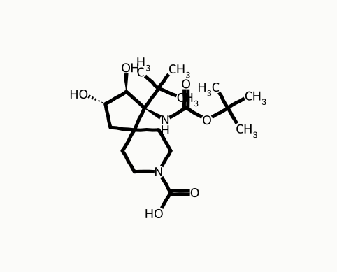 CC(C)(C)OC(=O)N[C@]1(C(C)(C)C)[C@H](O)[C@@H](O)CC12CCN(C(=O)O)CC2